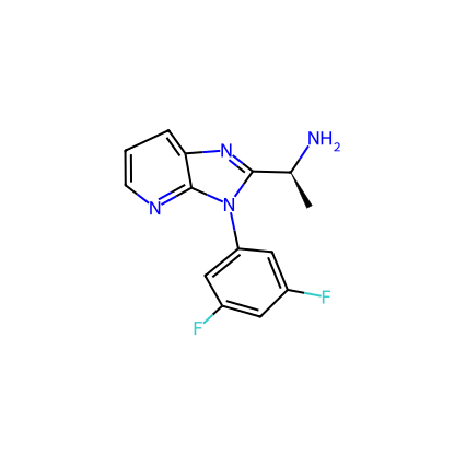 C[C@H](N)c1nc2cccnc2n1-c1cc(F)cc(F)c1